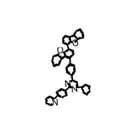 c1ccc(-c2cc(-c3ccc(-c4ccc(-c5cccc6c5oc5ccccc56)c5oc6ccccc6c45)cc3)nc(-c3ccc(-c4ccccn4)cc3)n2)cc1